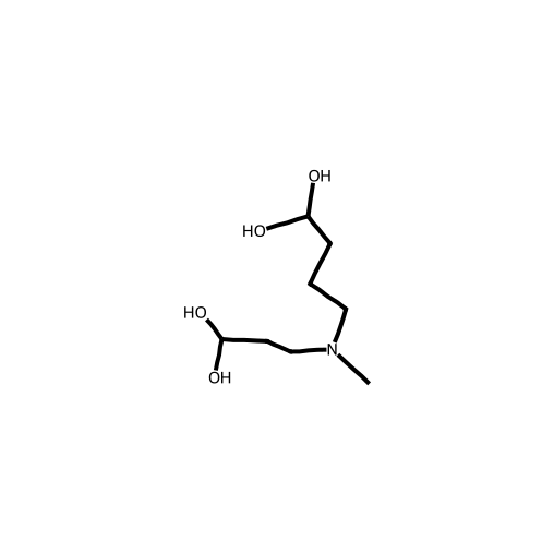 CN(CCCC(O)O)CCC(O)O